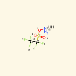 NOS(=O)(=O)C(F)(F)C(F)(F)F.[LiH]